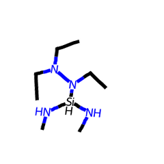 CCN(CC)N(CC)[SiH](NC)NC